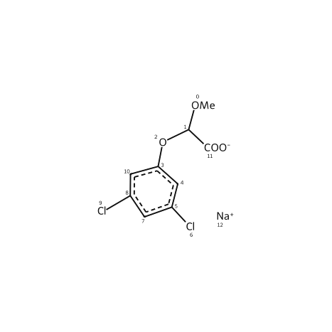 COC(Oc1cc(Cl)cc(Cl)c1)C(=O)[O-].[Na+]